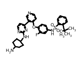 CC(C)(C)c1ccccc1S(=O)(=O)Nc1ccc(Oc2ccncc2-c2ccnc(NC3CCC(N)CC3)n2)c(F)c1